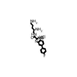 Cl.Cl.NCCC[C@H](N)CNC(=O)c1nc2cc(-c3ccc(F)cc3)ccc2[nH]1